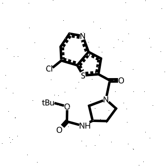 CC(C)(C)OC(=O)NC1CCN(C(=O)c2cc3nccc(Cl)c3s2)C1